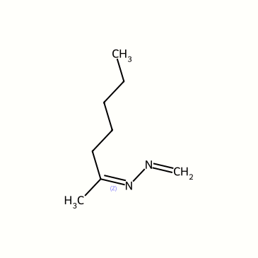 C=N/N=C(/C)CCCCC